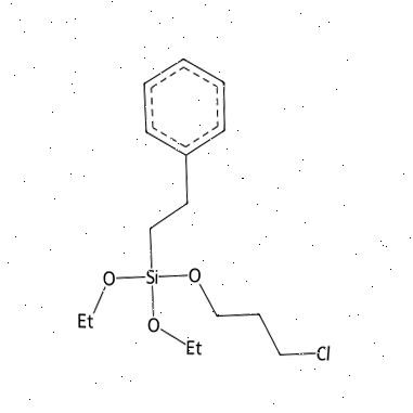 CCO[Si](CCc1ccccc1)(OCC)OCCCCl